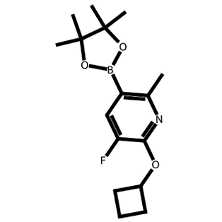 Cc1nc(OC2CCC2)c(F)cc1B1OC(C)(C)C(C)(C)O1